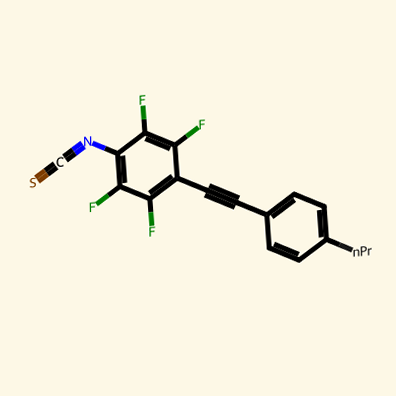 CCCc1ccc(C#Cc2c(F)c(F)c(N=C=S)c(F)c2F)cc1